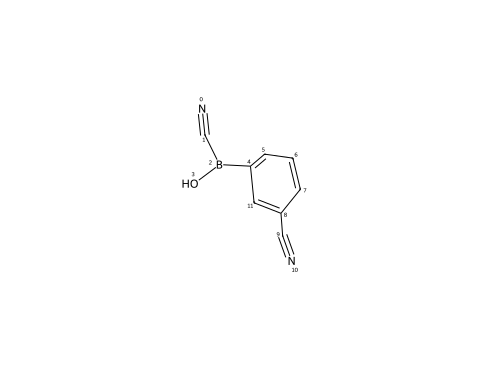 N#CB(O)c1cccc(C#N)c1